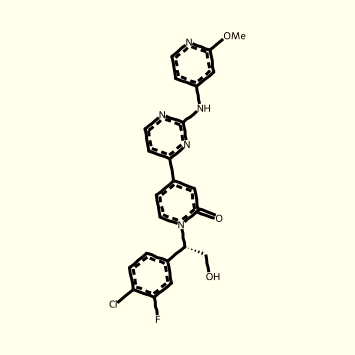 COc1cc(Nc2nccc(-c3ccn([C@H](CO)c4ccc(Cl)c(F)c4)c(=O)c3)n2)ccn1